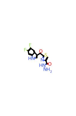 NNC(=O)c1csc(C(=O)c2c[nH]c3cc(F)c(F)cc23)n1